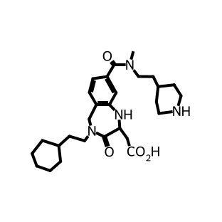 CN(CCC1CCNCC1)C(=O)c1ccc2c(c1)NC(CC(=O)O)C(=O)N(CCC1CCCCC1)C2